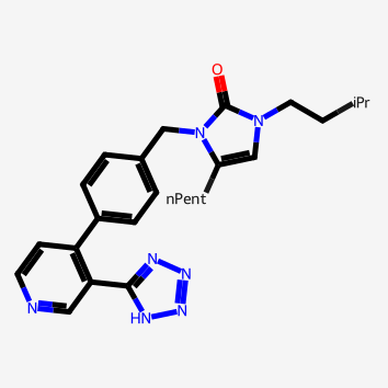 CCCCCc1cn(CCC(C)C)c(=O)n1Cc1ccc(-c2ccncc2-c2nnn[nH]2)cc1